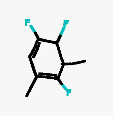 C[C]1C(F)=C(C)C=C(F)C1F